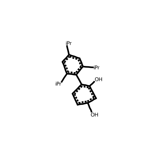 CC(C)c1cc(C(C)C)c(-c2ccc(O)cc2O)c(C(C)C)c1